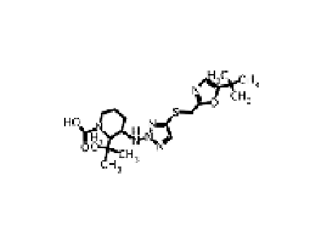 CC(C)(C)c1cnc(CSc2cnn(NC3CCCN(C(=O)O)C3C(C)(C)C)n2)o1